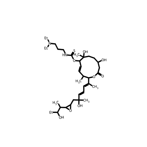 CCC(O)C(C)C1OC1CC(C)(O)/C=C/C=C(C)C1OC(=O)CC(O)CCC(C)(O)C(OC(=S)NCCCN(CC)CC)/C=C/C1C